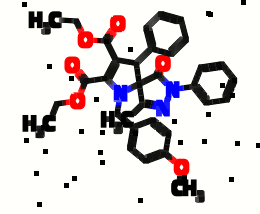 CCOC(=O)C1=C(C(=O)OCC)N(Cc2ccc(OC)cc2)C2(C(=O)N(c3ccccc3)N=C2C)C1c1ccccc1